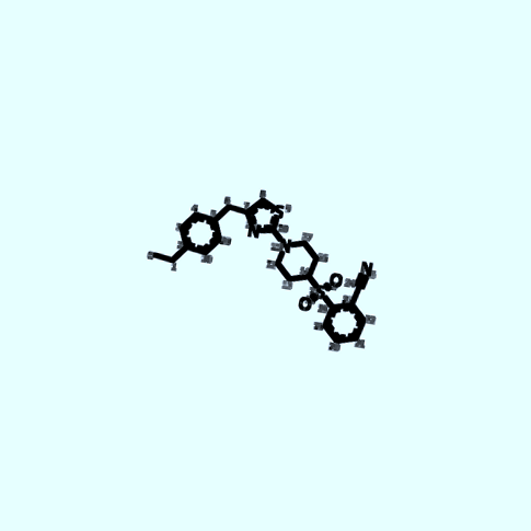 CCc1ccc(Cc2csc(N3CCC(S(=O)(=O)c4ccccc4C#N)CC3)n2)cc1